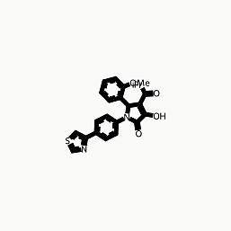 COc1ccccc1C1C(C(=O)C(C)C)=C(O)C(=O)N1c1ccc(-c2cscn2)cc1